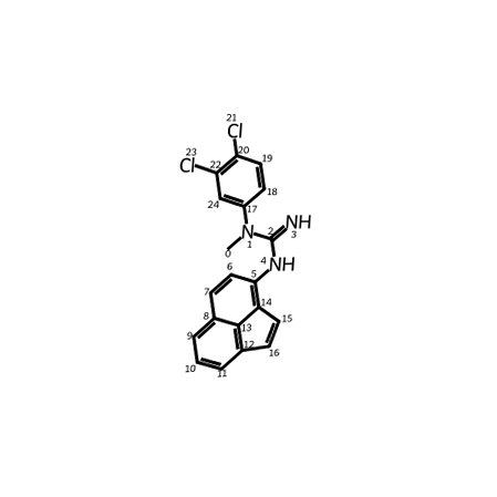 CN(C(=N)Nc1ccc2cccc3c2c1C=C3)c1ccc(Cl)c(Cl)c1